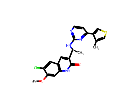 Cc1cscc1-c1ccnc(N[C@@H](C)c2cc3cc(Cl)c(OC(C)C)cc3[nH]c2=O)n1